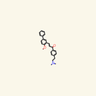 COc1ccc(-c2ccccc2)cc1C=CC(=O)c1ccc(CCN(C)C)cc1